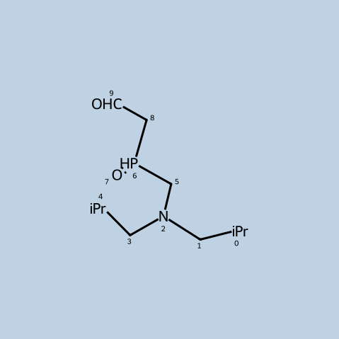 CC(C)CN(CC(C)C)C[PH](=O)CC=O